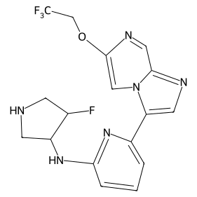 FC1CNCC1Nc1cccc(-c2cnc3cnc(OCC(F)(F)F)cn23)n1